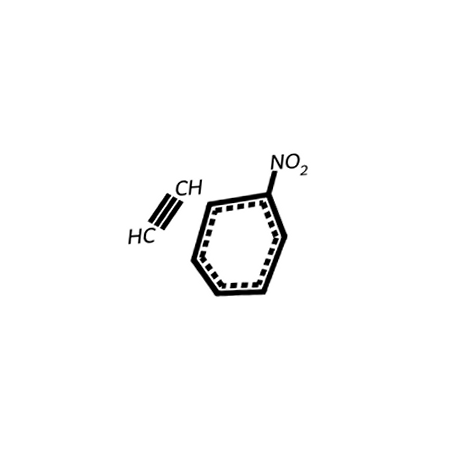 C#C.O=[N+]([O-])c1ccccc1